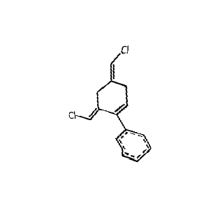 ClC=C1CC=C(c2ccccc2)C(=CCl)C1